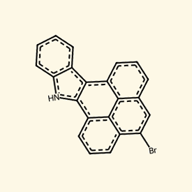 Brc1cc2cccc3c4c5ccccc5[nH]c4c4cccc1c4c23